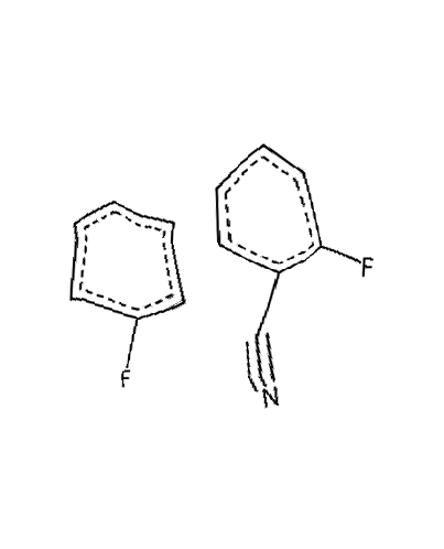 Fc1ccccc1.N#Cc1ccccc1F